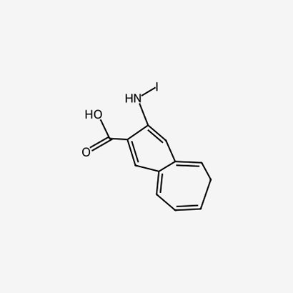 O=C(O)c1cc2c(cc1NI)=CCC=CC=2